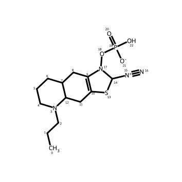 CCCN1CCCC2CC3=C(CC21)SC([N+]#N)N3OP(=O)([O-])O